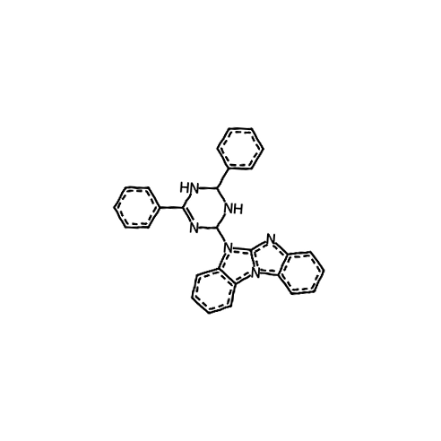 c1ccc(C2=NC(n3c4ccccc4n4c5ccccc5nc34)NC(c3ccccc3)N2)cc1